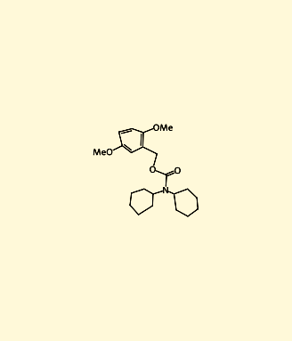 COc1ccc(OC)c(COC(=O)N(C2CCCCC2)C2CCCCC2)c1